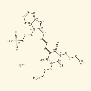 CCCCN1C(=O)C(=CC=CC=C2Oc3ccccc3N2CCCS(=O)(=O)[O-])C(=O)N(CCCC)C1=S.[Na+]